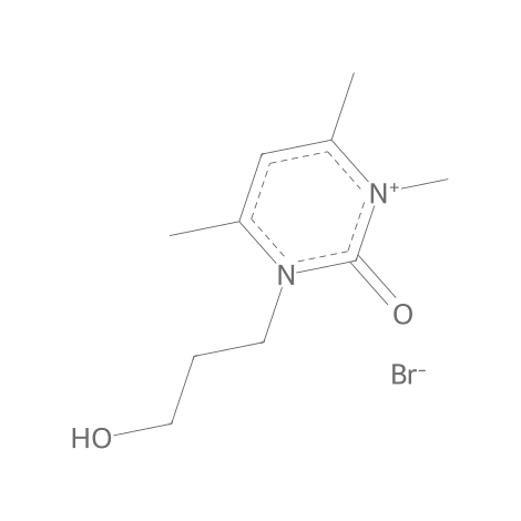 Cc1cc(C)[n+](C)c(=O)n1CCCO.[Br-]